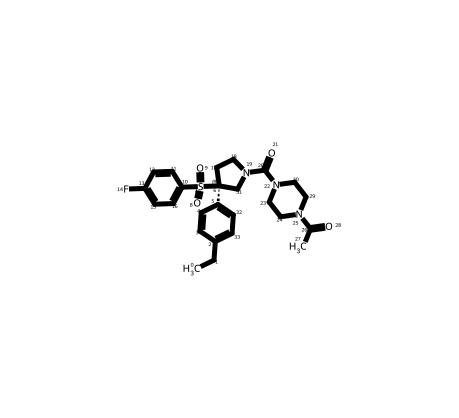 CCc1ccc([C@]2(S(=O)(=O)c3ccc(F)cc3)CCN(C(=O)N3CCN(C(C)=O)CC3)C2)cc1